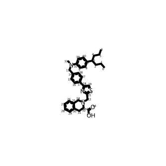 CCCC(CCC)c1ccc(N(C)Cc2ccc(-c3csc(CN4Cc5ccccc5C[C@H]4C(=O)O)n3)cc2)cc1